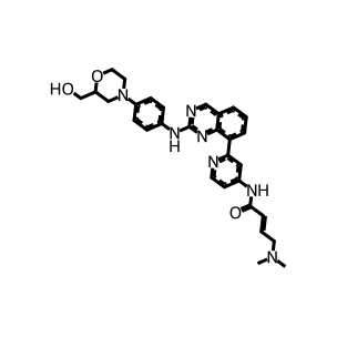 CN(C)CC=CC(=O)Nc1ccnc(-c2cccc3cnc(Nc4ccc(N5CCOC(CO)C5)cc4)nc23)c1